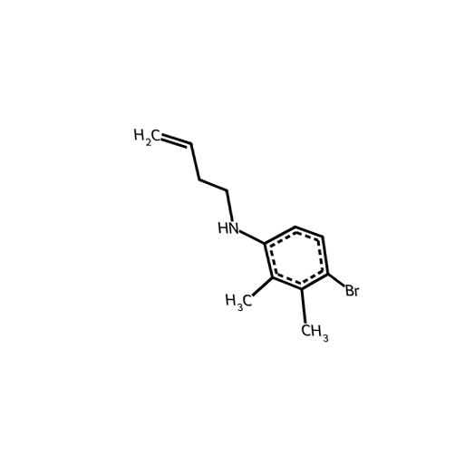 C=CCCNc1ccc(Br)c(C)c1C